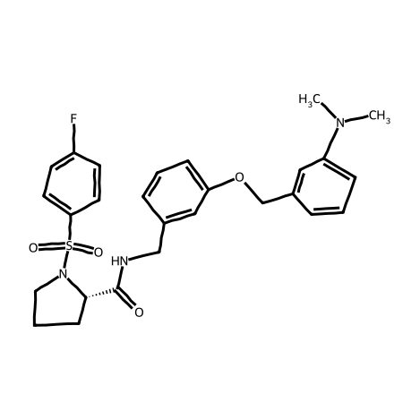 CN(C)c1cccc(COc2cccc(CNC(=O)[C@@H]3CCCN3S(=O)(=O)c3ccc(F)cc3)c2)c1